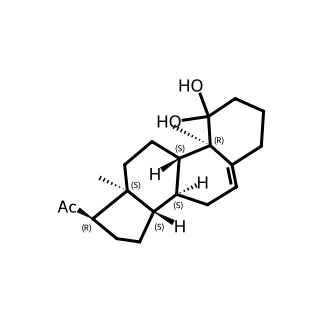 CC(=O)[C@@H]1CC[C@H]2[C@@H]3CC=C4CCCC(O)(O)[C@]4(C)[C@H]3CC[C@]12C